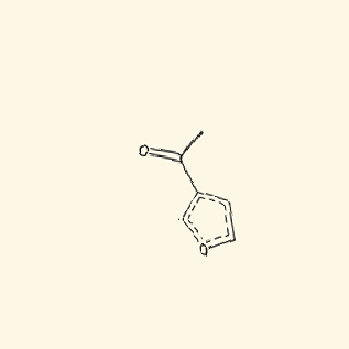 CC(=O)c1[c]occ1